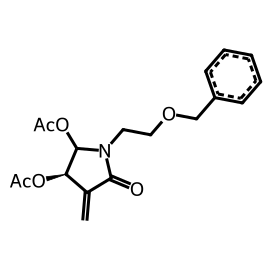 C=C1C(=O)N(CCOCc2ccccc2)C(OC(C)=O)[C@@H]1OC(C)=O